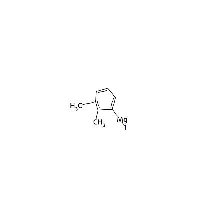 Cc1ccc[c]([Mg][I])c1C